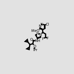 COc1nnc(Cl)cc1C(CC(F)F)n1cc(NC(=O)C(OC(C)C)C(C2CC2)C2CC2)cn1